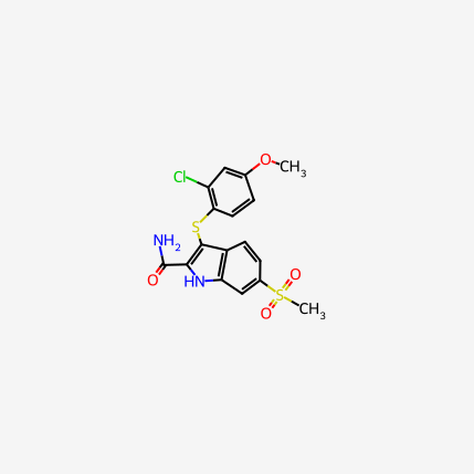 COc1ccc(Sc2c(C(N)=O)[nH]c3cc(S(C)(=O)=O)ccc23)c(Cl)c1